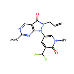 C=CCn1c(=O)c2cnc(SC)nc2n1-c1cc(C(F)F)c(=O)n(C(C)C)c1